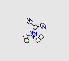 c1cncc(-c2cc(-c3ccncc3)cc(-c3nc(-c4cccc5ccccc45)nc(-c4cccc5ccccc45)n3)c2)c1